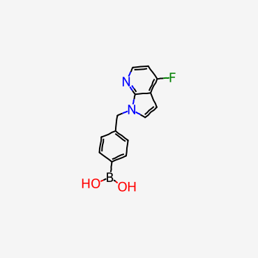 OB(O)c1ccc(Cn2ccc3c(F)ccnc32)cc1